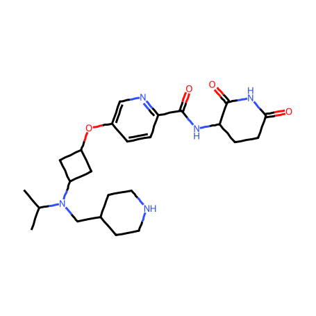 CC(C)N(CC1CCNCC1)C1CC(Oc2ccc(C(=O)NC3CCC(=O)NC3=O)nc2)C1